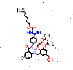 CCCCCCOC(=O)NC(=N)c1ccc(NC(=O)c2cc(C)ccc2NCc2cc(CO)cc(OC(C)C)c2OCC(=O)OCC)cc1